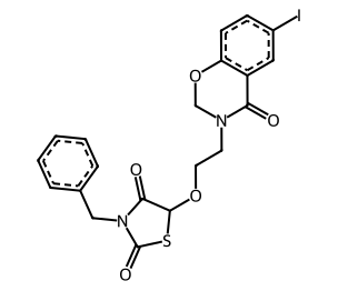 O=C1c2cc(I)ccc2OCN1CCOC1SC(=O)N(Cc2ccccc2)C1=O